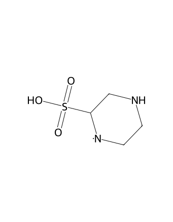 O=S(=O)(O)C1CNCC[N]1